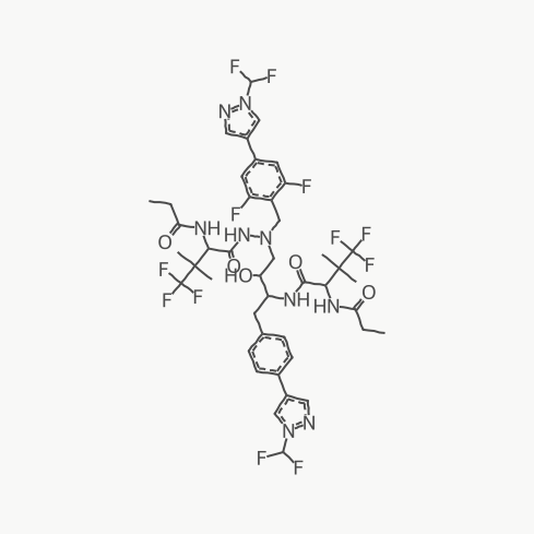 CCC(=O)NC(C(=O)NC(Cc1ccc(-c2cnn(C(F)F)c2)cc1)C(O)CN(Cc1c(F)cc(-c2cnn(C(F)F)c2)cc1F)NC(=O)C(NC(=O)CC)C(C)(C)C(F)(F)F)C(C)(C)C(F)(F)F